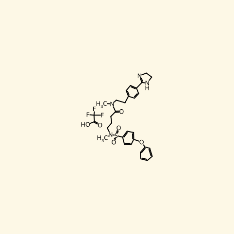 CN(CCc1ccc(C2=NCCN2)cc1)C(=O)CCCN(C)S(=O)(=O)c1ccc(Oc2ccccc2)cc1.O=C(O)C(F)(F)F